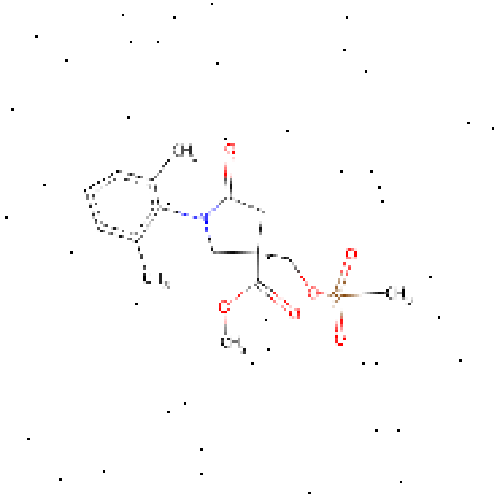 COC(=O)C1(COS(C)(=O)=O)CC(=O)N(c2c(C)cccc2C)C1